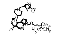 C[Si](C)(C)CCOCn1ccc2c1ncc1c(=O)ccn(C3CCN(Cc4cnc(Cl)s4)CC3)c12